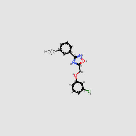 O=C(O)c1cccc(-c2noc(COc3cccc(Cl)c3)n2)c1